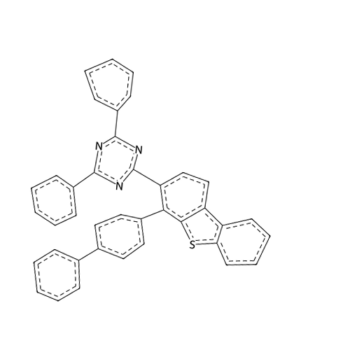 c1ccc(-c2ccc(-c3c(-c4nc(-c5ccccc5)nc(-c5ccccc5)n4)ccc4c3sc3ccccc34)cc2)cc1